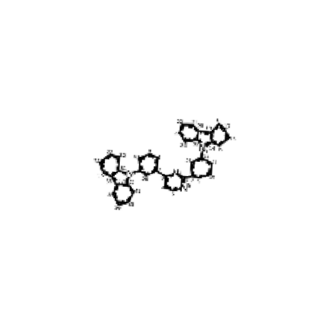 c1cc(-c2ccnc(-c3cccc(-n4c5ccccc5c5ccccc54)c3)n2)cc(-n2c3ccccc3c3ccccc32)c1